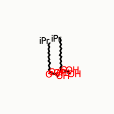 CC(C)CCCCCCCCCCCCCCC(=O)OCC(O)CO.CC(C)CCCCCCCCCCCCCCC(=O)OCC(O)CO